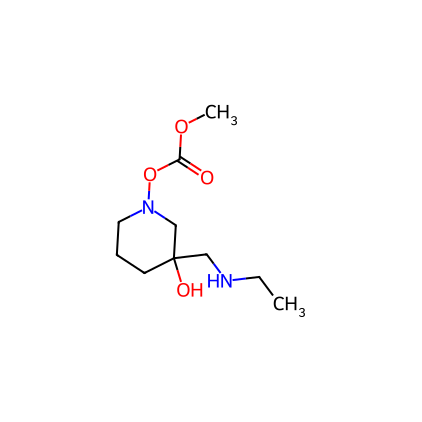 CCNCC1(O)CCCN(OC(=O)OC)C1